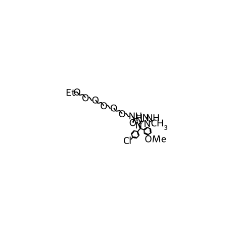 CCOCCOCCOCCOCCOCCOCCNC(=O)C[C@@H]1N=C(c2ccc(Cl)cc2)c2cc(OC)ccc2N2C(C)NNC12